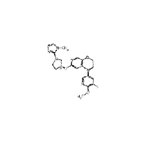 COc1ncc(N2CCOc3cnc(O[C@H]4CCN(c5n[c]cn5C)C4)cc32)cc1F